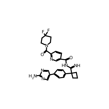 N=C(NC(=O)c1ccc(C(=O)N2CCC(F)(F)CC2)nc1)C1(c2ccc(-c3cnc(N)nc3)cc2)CCC1